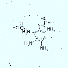 Cl.Cl.Cl.Cl.Cl.Nc1cc(N)c(N)c(N)c1N